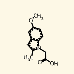 COc1ccc2c([c]c(C)n2CC(=O)O)c1